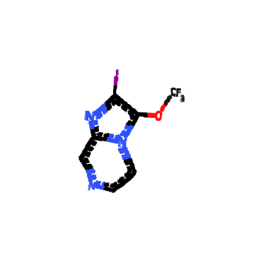 FC(F)(F)Oc1c(I)nc2cnccn12